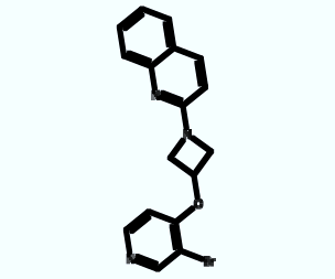 Brc1cnccc1OC1CN(c2ccc3ccccc3n2)C1